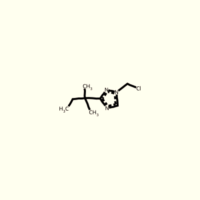 CCC(C)(C)c1ncn(CCl)n1